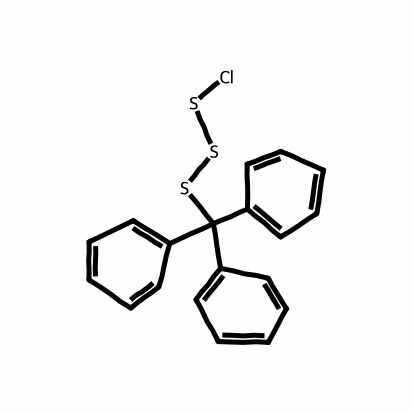 ClSSSC(c1ccccc1)(c1ccccc1)c1ccccc1